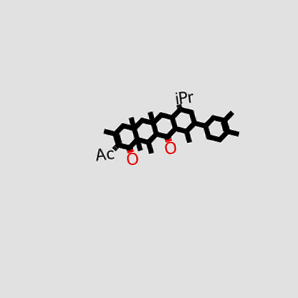 CC(=O)C1=C(C)CC2(C)CC3(C)CC4C(C(C)C)CC(C5CCC(C)=C(C)C5)C(C)C4C(=O)C3C(C)C2(C)C1=O